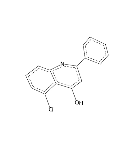 Oc1cc(-c2ccccc2)nc2cccc(Cl)c12